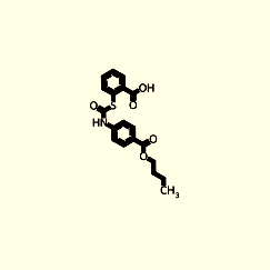 CCCCOC(=O)c1ccc(NC(=O)Sc2ccccc2C(=O)O)cc1